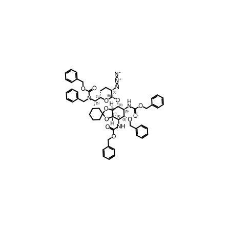 C[C@@H]([C@@H]1CC[C@@H](N=[N+]=[N-])[C@@H](O[C@@H]2[C@@H](NC(=O)OCc3ccccc3)[C@H](OCc3ccccc3)[C@@H](NC(=O)OCc3ccccc3)[C@@H]3OC4(CCCCC4)O[C@@H]23)O1)N(Cc1ccccc1)C(=O)OCc1ccccc1